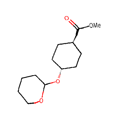 COC(=O)[C@H]1CC[C@H](OC2CCCCO2)CC1